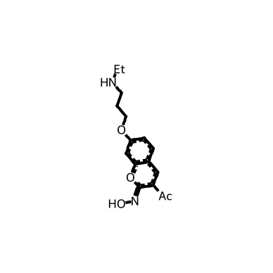 CCNCCCOc1ccc2cc(C(C)=O)c(=NO)oc2c1